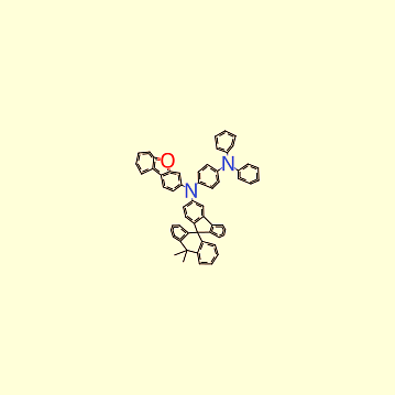 CC1(C)c2ccccc2C2(c3ccccc3-c3cc(N(c4ccc(N(c5ccccc5)c5ccccc5)cc4)c4ccc5c(c4)oc4ccccc45)ccc32)c2ccccc21